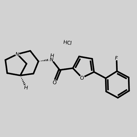 Cl.O=C(N[C@@H]1C[C@H]2CCN(C2)C1)c1ccc(-c2ccccc2F)o1